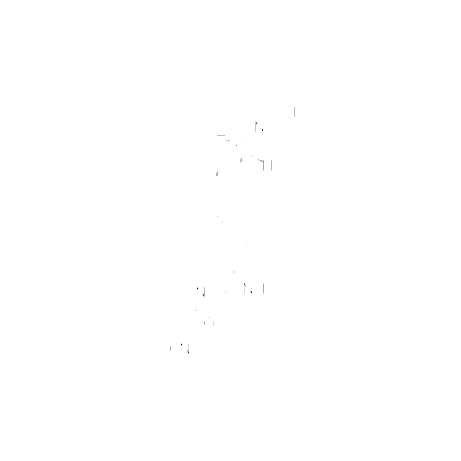 N#CC1CCC1C(=O)Nc1c[nH]c2ccc(OCC[C@@H]3C[C@@H]4CN(CC(F)(F)F)C[C@@H]4C3)cc12